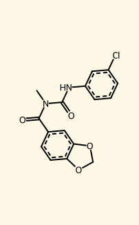 CN(C(=O)Nc1cccc(Cl)c1)C(=O)c1ccc2c(c1)OCO2